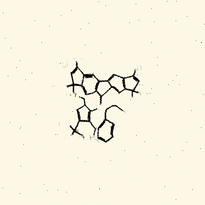 CCC1=[C](/[Zr+2](=[C](/CC)c2ccccc2)[CH]2c3cc4c(cc3-c3cc5c(cc32)C(C)(C)C=C5C)C(C)=CC4(C)C)C(CC)C=C1C(C)(C)C.[Cl-].[Cl-]